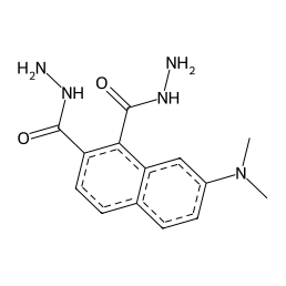 CN(C)c1ccc2ccc(C(=O)NN)c(C(=O)NN)c2c1